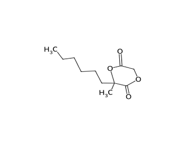 CCCCCCC1(C)OC(=O)COC1=O